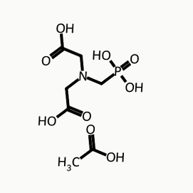 CC(=O)O.O=C(O)CN(CC(=O)O)CP(=O)(O)O